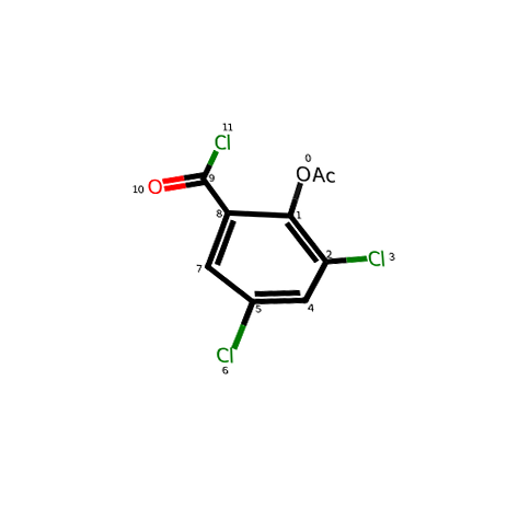 CC(=O)Oc1c(Cl)cc(Cl)cc1C(=O)Cl